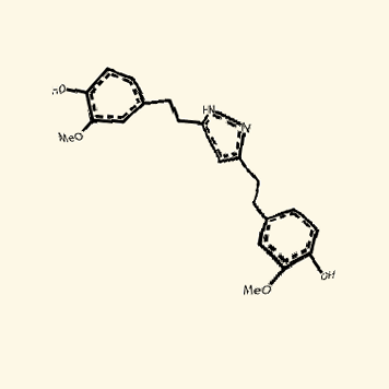 COc1cc(CCc2cc(CCc3ccc(O)c(OC)c3)[nH]n2)ccc1O